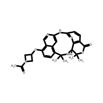 CC(=O)N1CC(Oc2ccc3c4cc(ncc24)Nc2ccc4c(n2)[C@@H](NC3(C)C)C(C)(C)OC4=O)C1